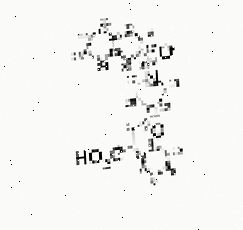 O=C(O)CCC(Oc1ccccc1)C1CCN(C(=O)c2ccc3ccccc3c2)CC1